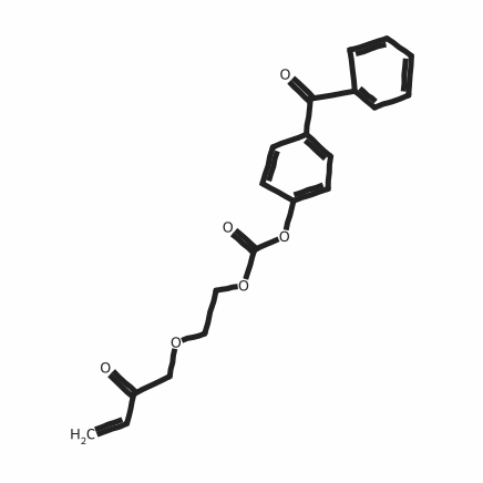 C=CC(=O)COCCOC(=O)Oc1ccc(C(=O)c2ccccc2)cc1